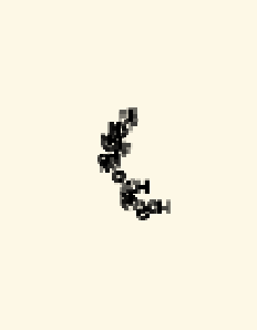 O=C(O)C[C@H]1CCCN(C[C@@H](O)c2ccc(-c3noc(-c4cnn(-c5ccc(C(F)(F)F)cn5)c4C(F)(F)F)n3)cc2)C1